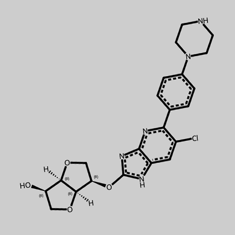 O[C@@H]1CO[C@H]2[C@@H]1OC[C@H]2Oc1nc2nc(-c3ccc(N4CCNCC4)cc3)c(Cl)cc2[nH]1